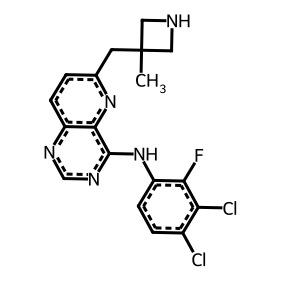 CC1(Cc2ccc3ncnc(Nc4ccc(Cl)c(Cl)c4F)c3n2)CNC1